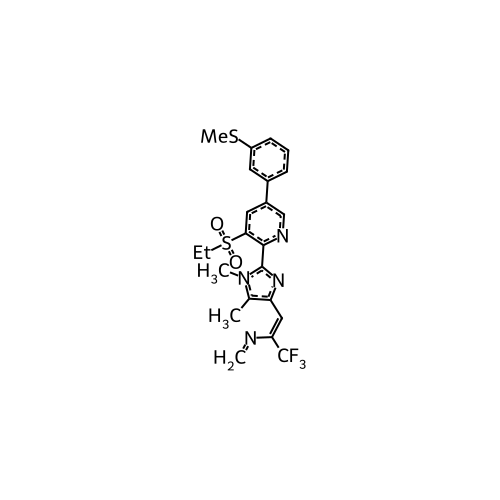 C=N/C(=C\c1nc(-c2ncc(-c3cccc(SC)c3)cc2S(=O)(=O)CC)n(C)c1C)C(F)(F)F